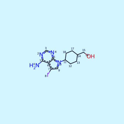 Nc1ncnc2c1c(I)cn2C1CCC(CO)CC1